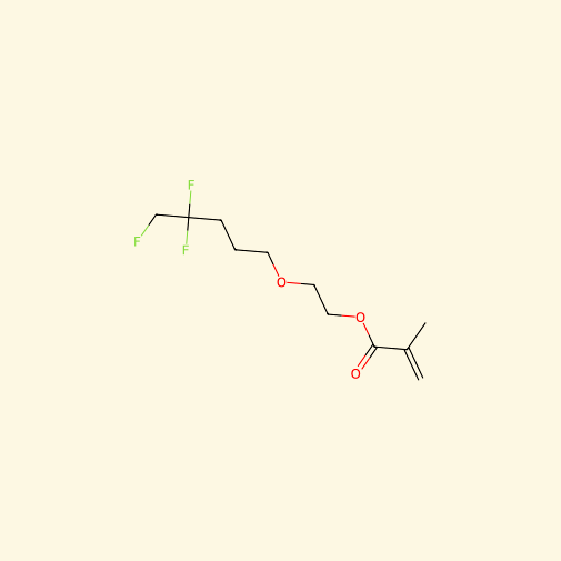 C=C(C)C(=O)OCCOCCCC(F)(F)CF